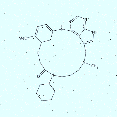 COC1=CC=C2CC1OCC(=O)N(C1CCCCC1)CCCN(C)Cc1c[nH]c3ncnc(c13)N2